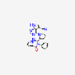 N#Cc1c[nH]c2ncnc(N3CCCC3c3nn4cccc4c(=O)n3-c3ccccc3)c12